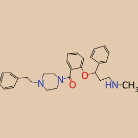 CNCCC(Oc1ccccc1C(=O)N1CCN(CCc2ccccc2)CC1)c1ccccc1